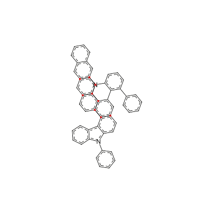 c1ccc(-c2ccccc2-c2c(-c3ccccc3)cccc2N(c2cccc(-c3cccc4c3c3ccccc3n4-c3ccccc3)c2)c2ccc3ccccc3c2)cc1